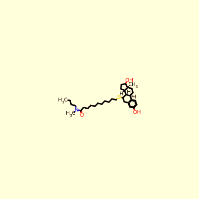 CCCCN(C)C(=O)CCCCCCCCCCSC1Cc2cc(O)ccc2[C@H]2CC[C@]3(C)C(O)CC[C@H]3[C@H]12